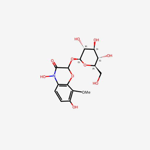 COc1c(O)ccc2c1OC(O[C@@H]1O[C@H](CO)[C@@H](O)[C@H](O)[C@H]1O)C(=O)N2O